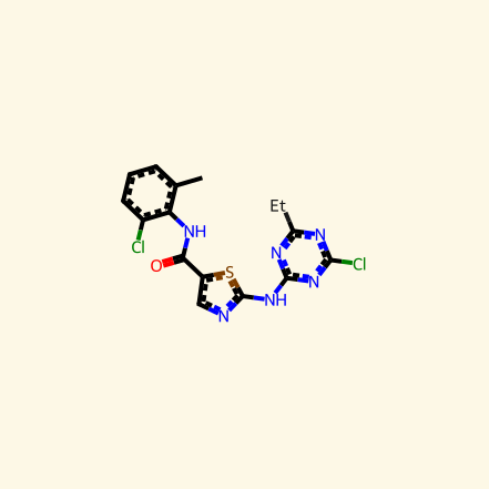 CCc1nc(Cl)nc(Nc2ncc(C(=O)Nc3c(C)cccc3Cl)s2)n1